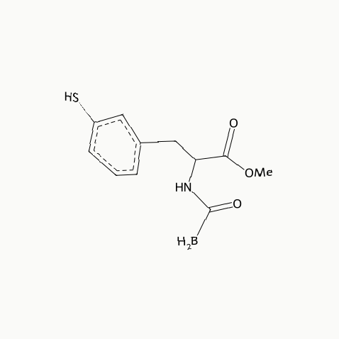 BC(=O)NC(Cc1cccc(S)c1)C(=O)OC